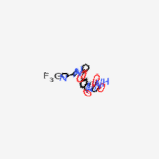 O=C1CCC(N2Cc3cc(OC4CCCCC4N4CC(c5ccc(C(F)(F)F)nc5)C4)ccc3C2=O)C(=O)N1